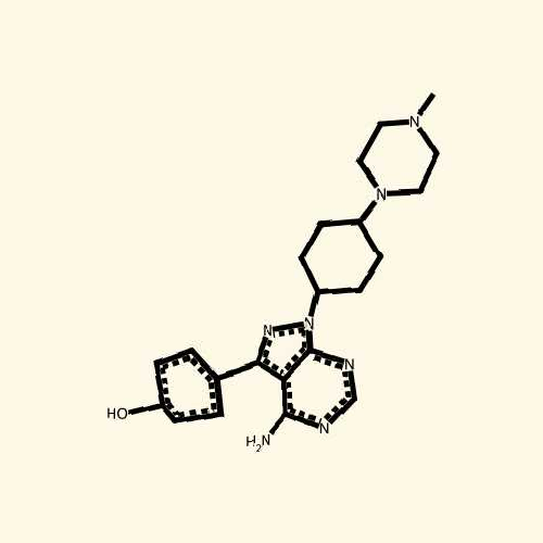 CN1CCN(C2CCC(n3nc(-c4ccc(O)cc4)c4c(N)ncnc43)CC2)CC1